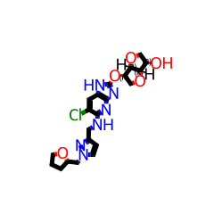 O[C@@H]1CO[C@H]2[C@@H]1OC[C@H]2Oc1nc2nc(NCc3ccn(CC4CCCO4)n3)c(Cl)cc2[nH]1